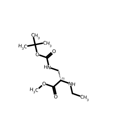 CCN[C@@H](CNC(=O)OC(C)(C)C)C(=O)OC